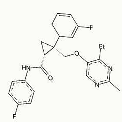 CCc1nc(C)ncc1OC[C@@]1(C2C=C(F)C=CC2)C[C@H]1C(=O)Nc1ccc(F)cc1